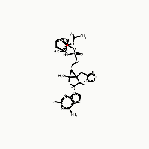 CC(C)OC(=O)[C@H](C)NP(=O)(OC[C@H]1C2(C)O[C@@H](n3cnc4c(N)nc(Cl)nc43)C(F)C12Cc1nnn[nH]1)Oc1ccccc1